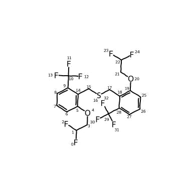 FC(F)COc1cccc(C(F)(F)F)c1CSCc1c(OCC(F)F)cccc1C(F)(F)F